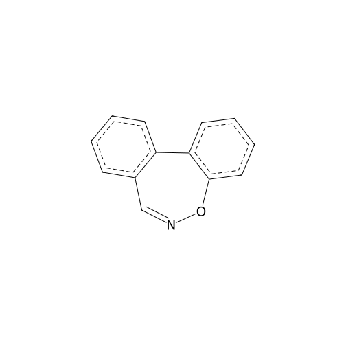 C1=NOc2ccccc2-c2ccccc21